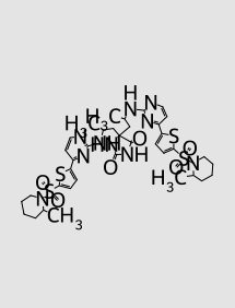 CC(CC1(CC(C)Nc2nccc(-c3ccc(S(=O)(=O)N4CCCCC4C)s3)n2)NC(=O)NC1=O)Nc1nccc(-c2ccc(S(=O)(=O)N3CCCCC3C)s2)n1